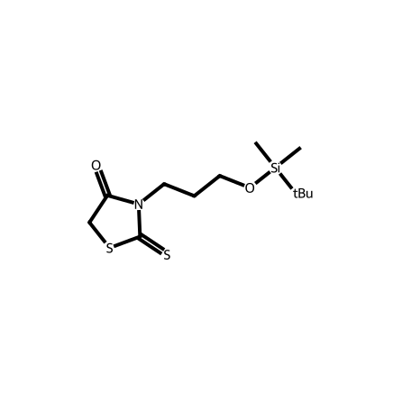 CC(C)(C)[Si](C)(C)OCCCN1C(=O)CSC1=S